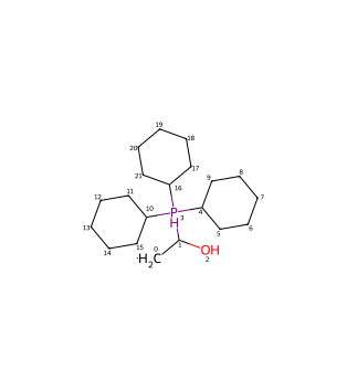 [CH2]C(O)[PH](C1CCCCC1)(C1CCCCC1)C1CCCCC1